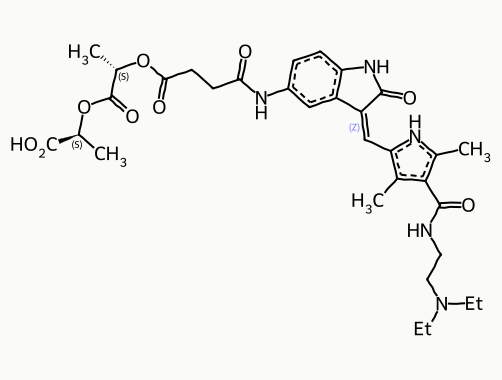 CCN(CC)CCNC(=O)c1c(C)[nH]c(/C=C2\C(=O)Nc3ccc(NC(=O)CCC(=O)O[C@@H](C)C(=O)O[C@@H](C)C(=O)O)cc32)c1C